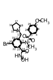 COc1ccc(S(=O)(=O)N(C)c2c(CN3CCCC3)cc(Br)cc2C(=O)NO)cc1